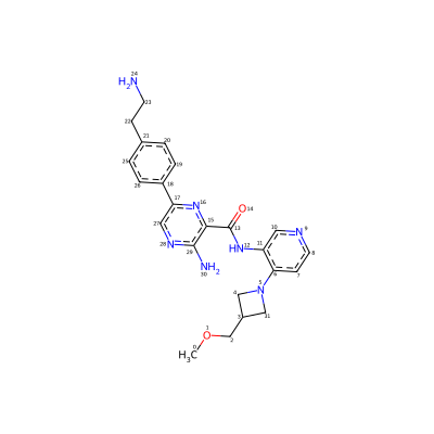 COCC1CN(c2ccncc2NC(=O)c2nc(-c3ccc(CCN)cc3)cnc2N)C1